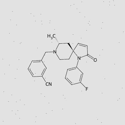 C[C@@H]1C[C@]2(C=CC(=O)N2c2cccc(F)c2)CCN1Cc1cccc(C#N)c1